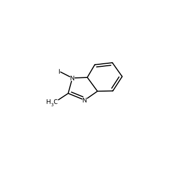 CC1=NC2C=CC=CC2N1I